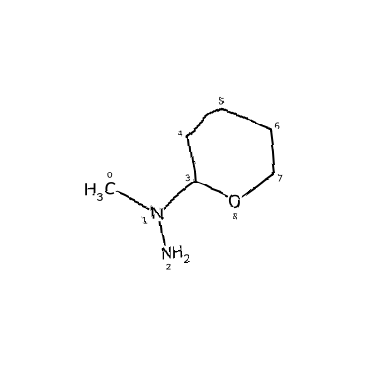 CN(N)C1CCCCO1